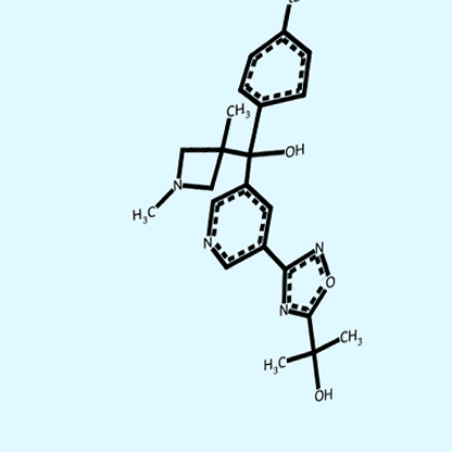 CN1CC(C)(C(O)(c2ccc(C(C)(C)C)cc2)c2cncc(-c3noc(C(C)(C)O)n3)c2)C1